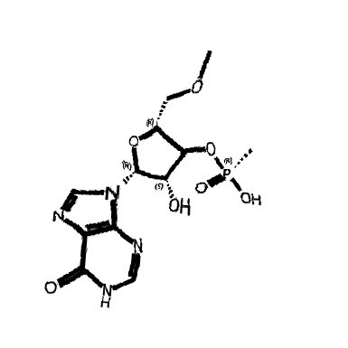 COC[C@H]1O[C@@H](n2cnc3c(=O)[nH]cnc32)[C@@H](O)C1O[P@](C)(=O)O